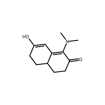 CN(C)C1=C2C=C(O)CCC2CCC1=O